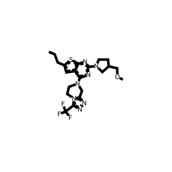 CCCc1cc2c(N3CCn4c(nnc4C(F)(F)F)C3)nc(N3CCC(COC)C3)nc2s1